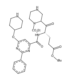 CCOC(=O)N1CCNCC1C(=O)[C@H](CCC(=O)OC(C)(C)C)NC(=O)c1cc(OC2CCNCC2)nc(-c2ccccc2)n1